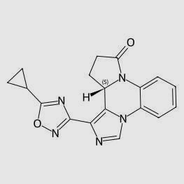 O=C1CC[C@H]2c3c(-c4noc(C5CC5)n4)ncn3-c3ccccc3N12